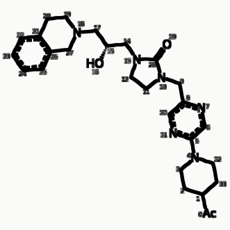 CC(=O)C1CCN(c2cnc(CN3CCN(C[C@H](O)CN4CCc5ccccc5C4)C3=O)cn2)CC1